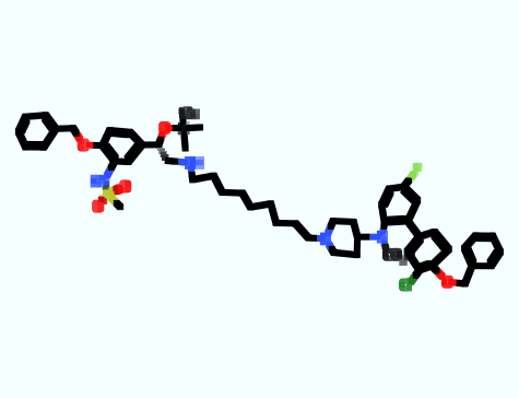 CC(C)(C)[Si](C)(C)O[C@H](CNCCCCCCCCCN1CCC(N(C(=O)O)c2ccc(F)cc2-c2ccc(OCc3ccccc3)c(Cl)c2)CC1)c1ccc(OCc2ccccc2)c(NS(C)(=O)=O)c1